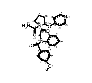 COc1ccc(C(=O)N(CC(=O)[N@+]2(C(N)=O)CCCC2Oc2ccncc2)c2ccccc2)cc1